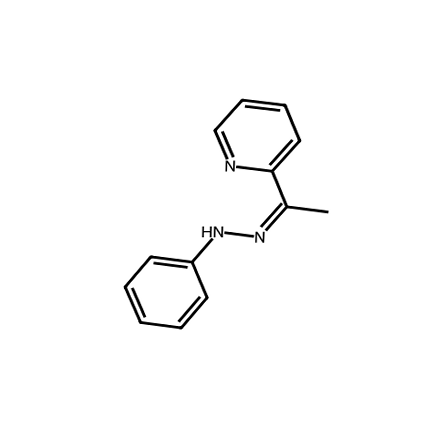 CC(=NNc1ccccc1)c1ccccn1